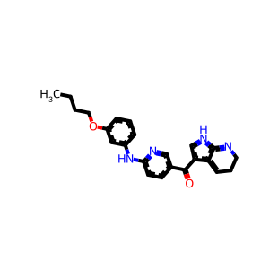 CCCCOc1cccc(Nc2ccc(C(=O)c3c[nH]c4c3=CCCN=4)cn2)c1